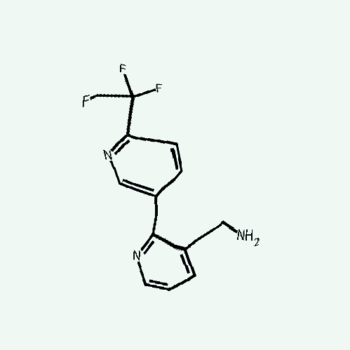 NCc1cccnc1-c1ccc(C(F)(F)F)nc1